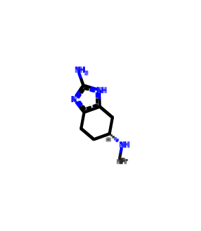 CCCN[C@@H]1CCc2nc(N)[nH]c2C1